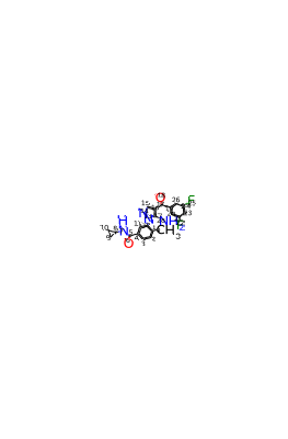 Cc1ccc(C(=O)NC2CC2)cc1-n1ncc(C(=O)c2cc(F)cc(F)c2)c1N